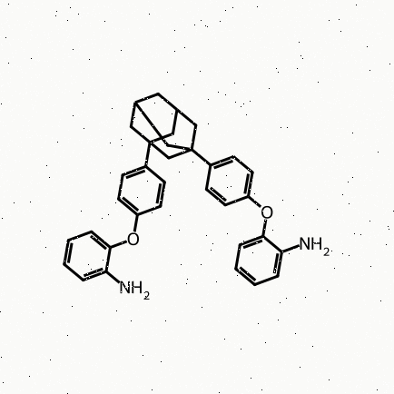 Nc1ccccc1Oc1ccc(C23CC4CC(C2)CC(c2ccc(Oc5ccccc5N)cc2)(C4)C3)cc1